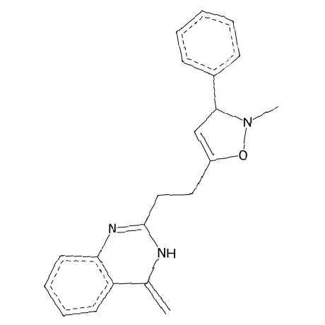 C=C1NC(CCC2=CC(c3ccccc3)N(C)O2)=Nc2ccccc21